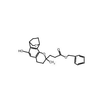 CC1(CCC(=O)OCc2ccccc2)CCc2cc(O)c3c(c2O1)C1CCC3CC1